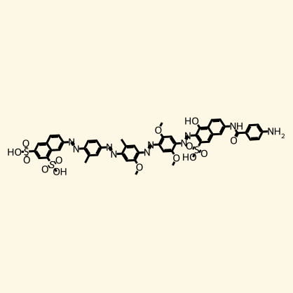 COc1cc(N=Nc2ccc(N=Nc3ccc4cc(S(=O)(=O)O)cc(S(=O)(=O)O)c4c3)c(C)c2)c(C)cc1N=Nc1cc(OC)c(N=Nc2c(S(=O)(=O)O)cc3cc(NC(=O)c4ccc(N)cc4)ccc3c2O)cc1OC